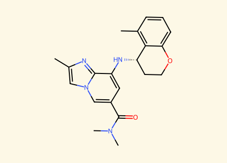 Cc1cn2cc(C(=O)N(C)C)cc(N[C@H]3CCOc4cccc(C)c43)c2n1